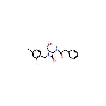 Cc1ccc(CN2C(=O)C(NC(=O)Cc3ccccc3)C2CO)c(C)c1